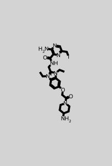 CCn1c(CNC(=O)c2nc(CI)cnc2N)[n+](CC)c2ccc(OCC(=O)N3CCC(N)CC3)cc21